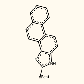 CCCCCc1nc2c(ccc3c4ccccc4ccc32)[nH]1